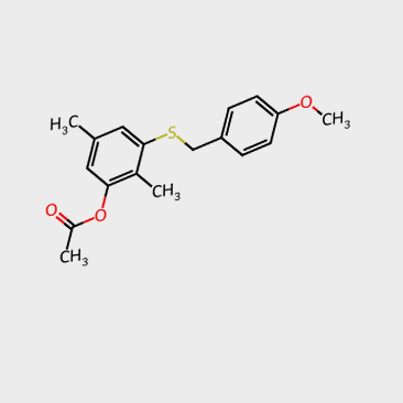 COc1ccc(CSc2cc(C)cc(OC(C)=O)c2C)cc1